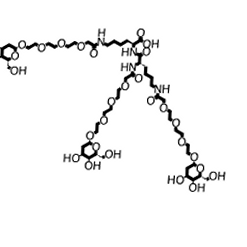 O=C(COCCOCCOCCO[C@H]1C[C@@H](O)[C@@H](O)[C@@H](CO)O1)NCCCC[C@H](NC(=O)[C@H](CCCCNC(=O)COCCOCCOCCO[C@H]1C[C@@H](O)[C@@H](O)[C@@H](CO)O1)NC(=O)COCCOCCOCCO[C@H]1C[C@@H](O)[C@@H](O)[C@@H](CO)O1)C(=O)O